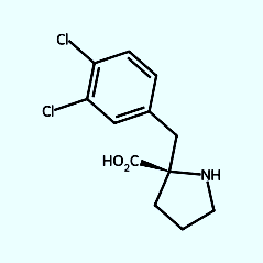 O=C(O)[C@]1(Cc2ccc(Cl)c(Cl)c2)CCCN1